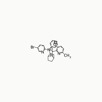 CCOc1ccc(C)nc1C(=O)N1C2CCC1C(N(c1ccccc1)c1ccc(Br)cn1)C2